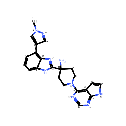 Cn1cc(-c2cccc3[nH]c(C4(N)CCN(c5ncnc6[nH]ccc56)CC4)nc23)cn1